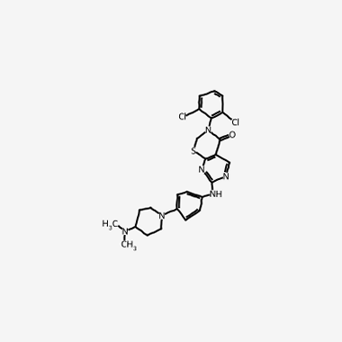 CN(C)C1CCN(c2ccc(Nc3ncc4c(n3)SCN(c3c(Cl)cccc3Cl)C4=O)cc2)CC1